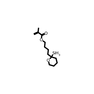 C=C(C)C(=O)OCCCCC1([SiH3])CCCCO1